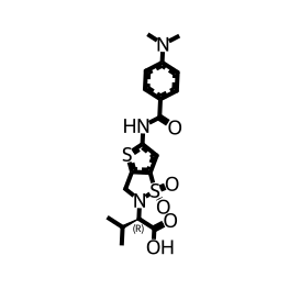 CC(C)[C@H](C(=O)O)N1Cc2sc(NC(=O)c3ccc(N(C)C)cc3)cc2S1(=O)=O